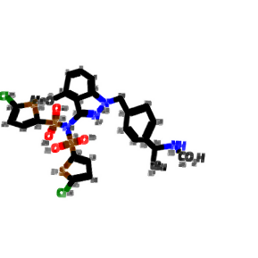 COc1cccc2c1c(N(S(=O)(=O)c1ccc(Cl)s1)S(=O)(=O)c1ccc(Cl)s1)nn2Cc1ccc(C(NC(=O)O)C(C)(C)C)cc1